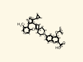 Cc1cncc(C)c1-c1noc(C2CC2)c1C1=CC2(CCN(c3ccc4nc(C(=O)O)cc(OC(F)F)c4c3)CC2)C1